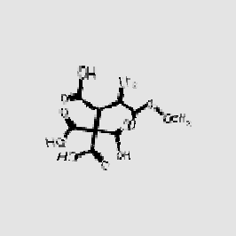 C=C(C(=O)[O][GeH3])C(C(=O)O)C(C(=O)O)(C(=O)O)C(=O)O